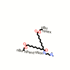 CCCCCCCCCN(CCCN(C)C)C(=O)C(CCCCCCCCC(=O)OCC(CCCC)CCCCC)CCCCCCCCC(=O)OCC(CCCC)CCCCCC